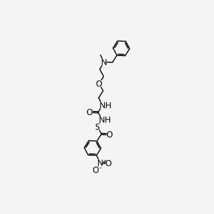 CN(CCOCCNC(=O)NSC(=O)c1cccc([N+](=O)[O-])c1)Cc1ccccc1